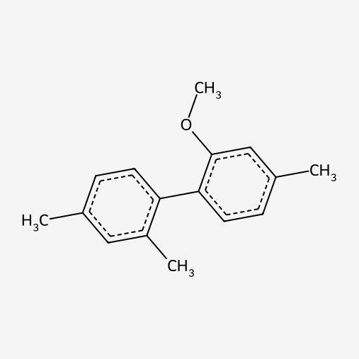 COc1cc(C)ccc1-c1ccc(C)cc1C